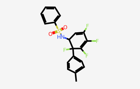 Cc1ccc(C2(F)C(F)=C(F)C(F)=CC2NS(=O)(=O)c2ccccc2)cc1